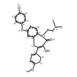 COC1=CC=C(C2=C(O)C(=O)N(CCN(C)C)c3ccc(Oc4ccc(Cl)cc4)cc3S2)CC1